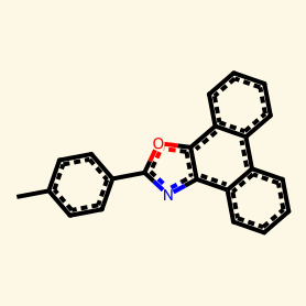 Cc1ccc(-c2nc3c4ccccc4c4ccccc4c3o2)cc1